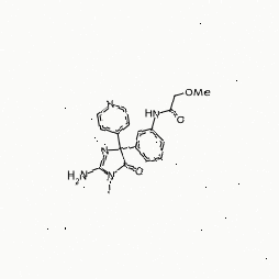 COCC(=O)Nc1cccc(C2(c3ccncc3)N=C(N)N(C)C2=O)c1